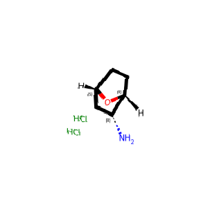 Cl.Cl.N[C@@H]1C[C@@H]2CC[C@H]1O2